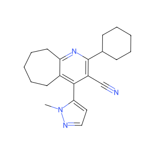 Cn1nccc1-c1c(C#N)c(C2CCCCC2)nc2c1CCCCC2